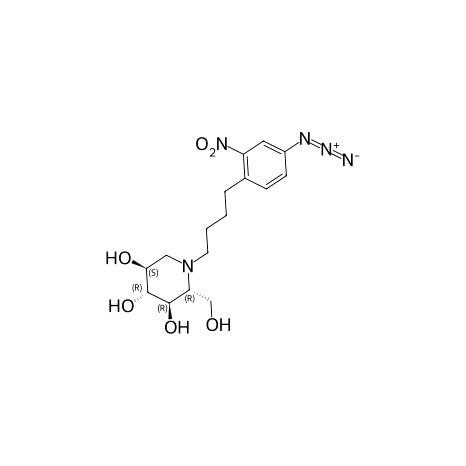 [N-]=[N+]=Nc1ccc(CCCCN2C[C@H](O)[C@@H](O)[C@H](O)[C@H]2CO)c([N+](=O)[O-])c1